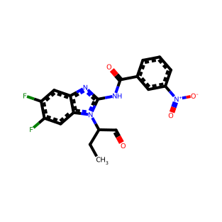 CCC(C=O)n1c(NC(=O)c2cccc([N+](=O)[O-])c2)nc2cc(F)c(F)cc21